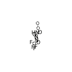 O=C(NCC(=O)N1CCN(C(=O)c2cc(F)cc(C(F)(F)F)c2)CC1)c1ccc(-c2ccccc2)cc1